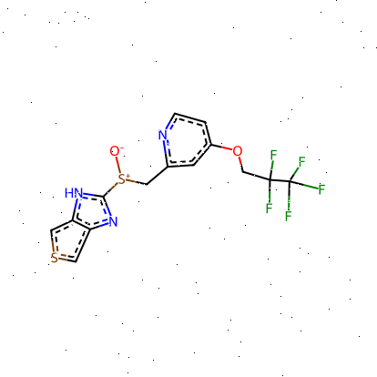 [O-][S+](Cc1cc(OCC(F)(F)C(F)(F)F)ccn1)c1nc2cscc2[nH]1